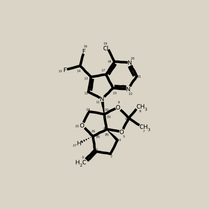 C=C1CC[C@]23OC(C)(C)O[C@@]2(n2cc(C(F)F)c4c(Cl)ncnc42)CO[C@H]13